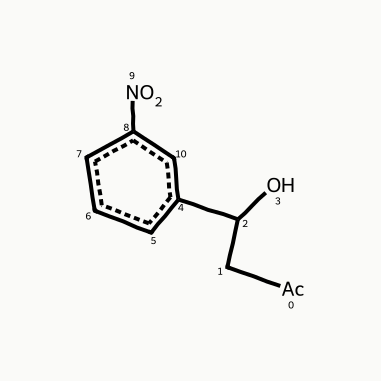 CC(=O)CC(O)c1cccc([N+](=O)[O-])c1